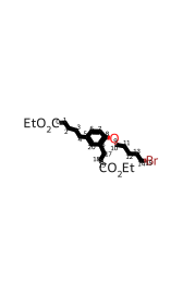 CCOC(=O)CCCCc1ccc(OCCCCCBr)c(CCC(=O)OCC)c1